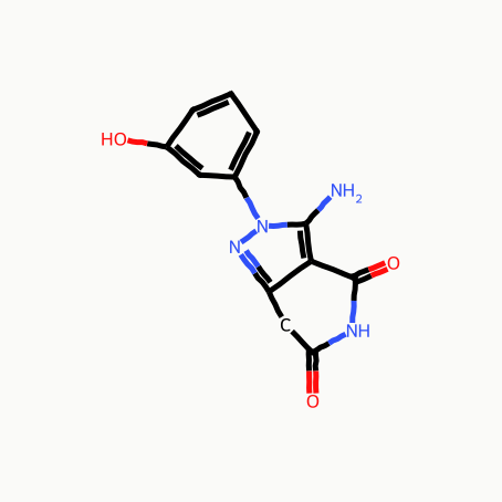 Nc1c2c(nn1-c1cccc(O)c1)CC(=O)NC2=O